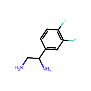 NCC(N)c1ccc(F)c(F)c1